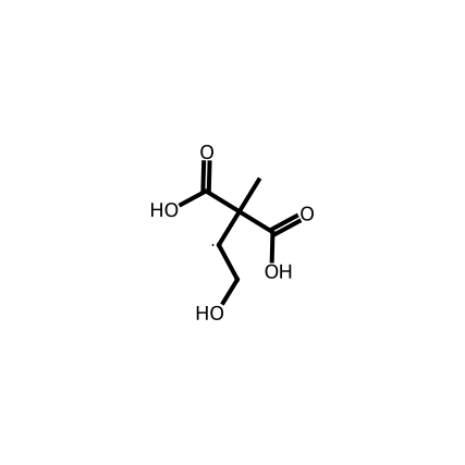 CC([CH]CO)(C(=O)O)C(=O)O